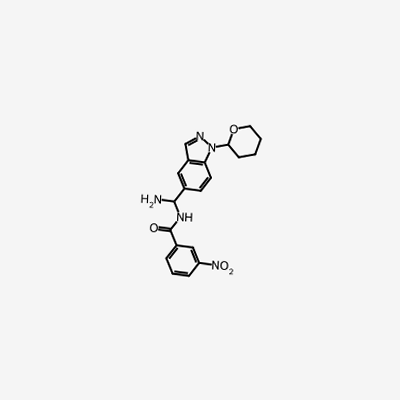 NC(NC(=O)c1cccc([N+](=O)[O-])c1)c1ccc2c(cnn2C2CCCCO2)c1